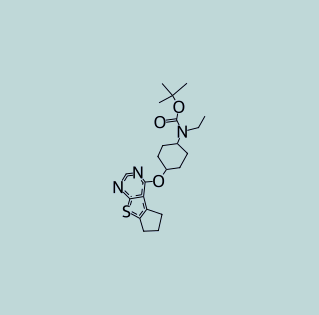 CCN(C(=O)OC(C)(C)C)C1CCC(Oc2ncnc3sc4c(c23)CCC4)CC1